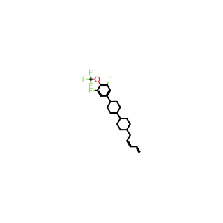 C=C/C=C\CC1CCC(C2CCC(c3cc(F)c(OC(F)(F)F)c(F)c3)CC2)CC1